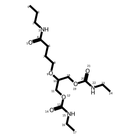 CCCNC(=O)CCCOC(COC(=O)NCC)COC(=O)NCC